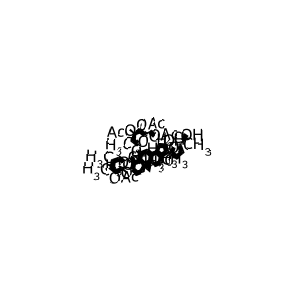 CC(=O)OC[C@H]1OC(O[C@H]2C[C@@H]3[C@]4(CC[C@]5(C)[C@@H]([C@@]6(C)CC[C@@H](C(C)(C)O)O6)[C@@H](O)C[C@@]35C)CC43CCC(O[C@@H]4OC[C@@H](C)[C@H](C)[C@H]4OC(C)=O)C(C)(C)[C@H]23)[C@H](C)[C@@H](OC(C)=O)[C@@H]1OC(C)=O